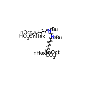 CCCCCCCCC(CCCCCC)(CCCCCCCN(CCN(CCCCCCCC(CCCCCC)(CCCCCCCC)C(=O)O)C(C)(C)C)C(C)(C)C)C(=O)O